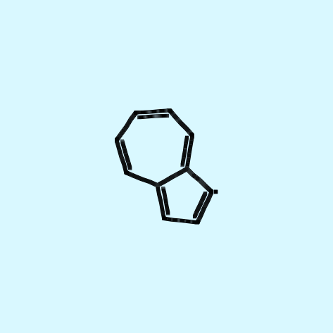 [c]1ccc2cccccc1-2